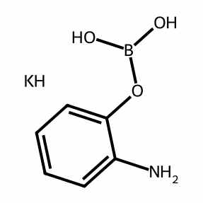 Nc1ccccc1OB(O)O.[KH]